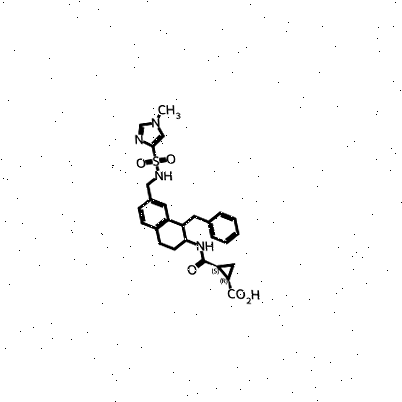 Cn1cnc(S(=O)(=O)NCc2ccc3c(c2)C(Cc2ccccc2)C(NC(=O)[C@H]2C[C@H]2C(=O)O)CC3)c1